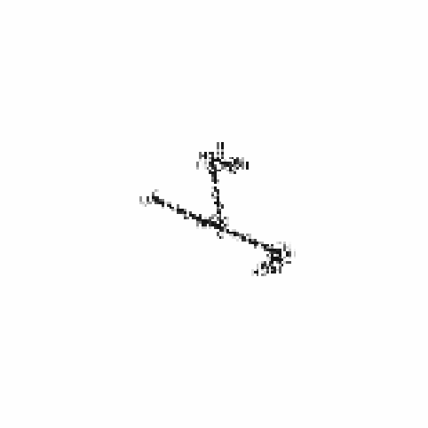 BC(=O)CCOCCOCCOCCOCCNC(=O)CC(C(=O)NCCOCCOCCOCCOC1OC(COP(=O)(O)O)C(O)C(O)C1O)C(=O)NCCOCCOCCOCCOC1OC(COP(=O)(O)O)C(O)C(O)C1O